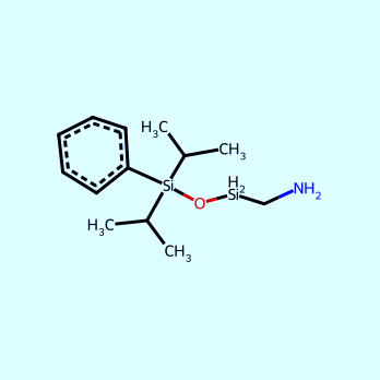 CC(C)[Si](O[SiH2]CN)(c1ccccc1)C(C)C